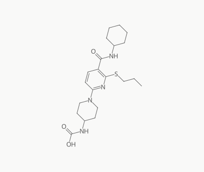 CCCSc1nc(N2CCC(NC(=O)O)CC2)ccc1C(=O)NC1CCCCC1